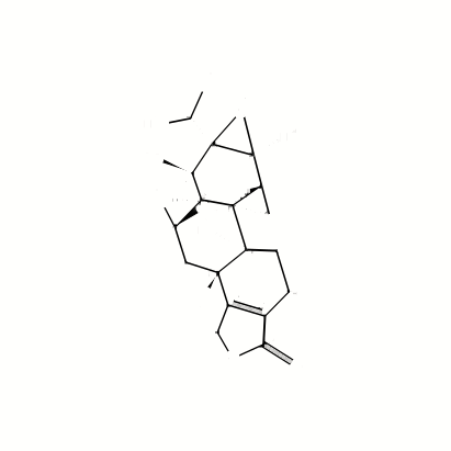 CC(C)[C@]12O[C@H]1[C@@H]1C[C@]13[C@]1(O[C@H]1C[C@H]1C4=C(CC[C@@]13C)C(=O)OC4)[C@H]2F